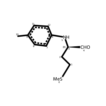 CSCC[C@H](C=O)Nc1ccc(C)cc1